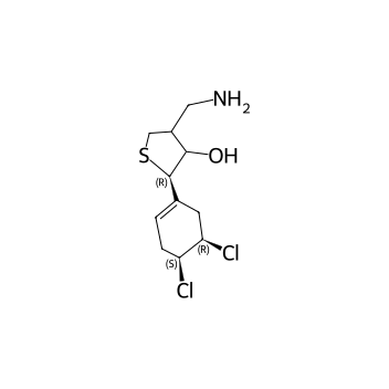 NCC1CS[C@H](C2=CC[C@H](Cl)[C@H](Cl)C2)C1O